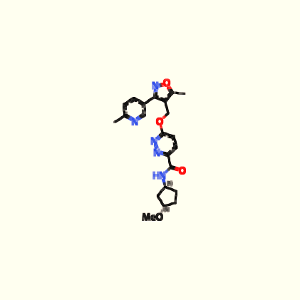 CO[C@H]1CC[C@H](NC(=O)c2ccc(OCc3c(-c4ccc(C)nc4)noc3C)nn2)C1